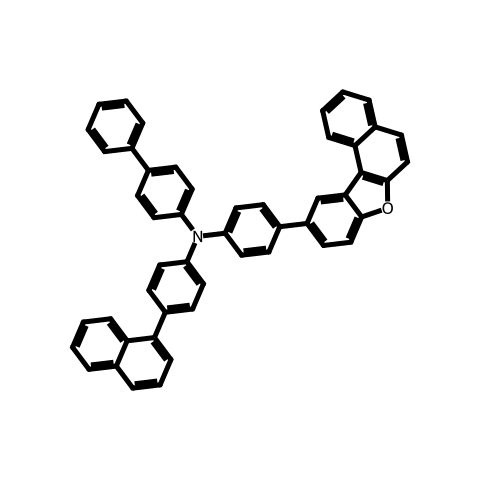 c1ccc(-c2ccc(N(c3ccc(-c4ccc5oc6ccc7ccccc7c6c5c4)cc3)c3ccc(-c4cccc5ccccc45)cc3)cc2)cc1